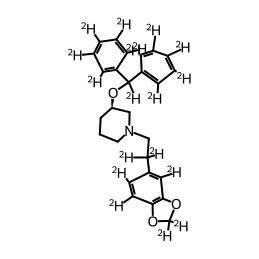 [2H]c1c([2H])c([2H])c(C([2H])(O[C@@H]2CCCN(CC([2H])([2H])c3c([2H])c([2H])c4c(c3[2H])OC([2H])([2H])O4)C2)c2c([2H])c([2H])c([2H])c([2H])c2[2H])c([2H])c1[2H]